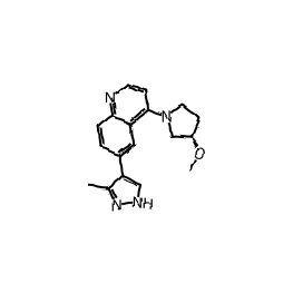 CO[C@@H]1CCN(c2ccnc3ccc(-c4c[nH]nc4C)cc23)C1